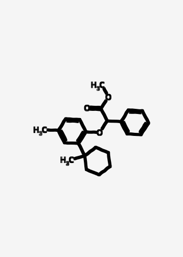 COC(=O)C(Oc1ccc(C)cc1C1(C)CCCCC1)c1ccccc1